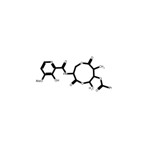 COc1ccnc(C(=O)NC2COC(=O)C(C)C(OC(=O)C(C)C)C(C)OC2=O)c1O